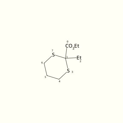 CCOC(=O)C1(CC)SCCCS1